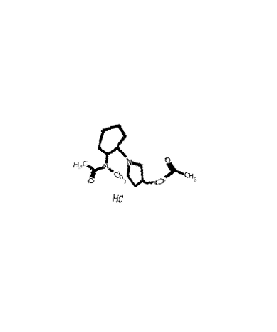 CC(=O)OC1CCN(C2CCCCC2N(C)C(C)=O)C1.Cl